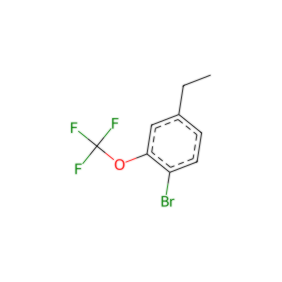 CCc1ccc(Br)c(OC(F)(F)F)c1